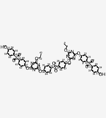 CCOc1nc(Oc2ccc(S(=O)(=O)c3ccc(O)cc3)cc2)nc(Oc2ccc(S(=O)(=O)c3ccc(Oc4nc(OCC)nc(Oc5ccc(S(=O)(=O)c6ccc(O)cc6)cc5)n4)cc3)cc2)n1